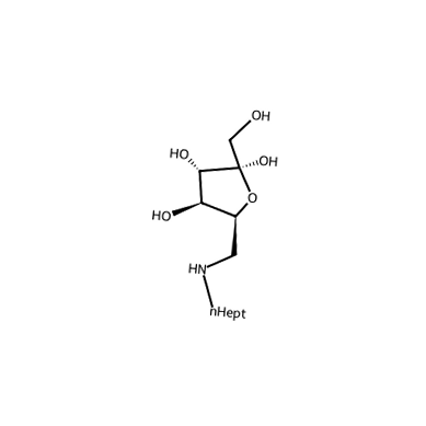 CCCCCCCNC[C@@H]1O[C@](O)(CO)[C@@H](O)[C@@H]1O